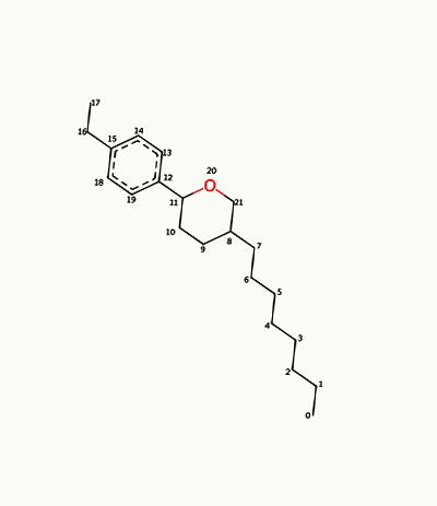 CCCCCCCCC1CCC(c2ccc(CC)cc2)OC1